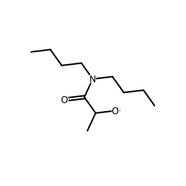 CCCCN(CCCC)C(=O)C(C)[O]